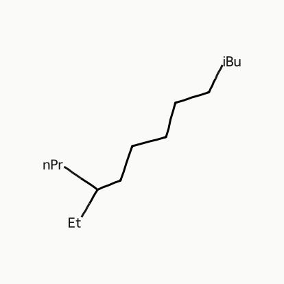 [CH2]C(CC)CCCCCC(CC)CCC